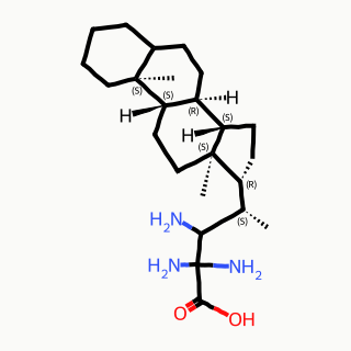 C[C@H](C(N)C(N)(N)C(=O)O)[C@H]1CC[C@H]2[C@@H]3CCC4CCCC[C@]4(C)[C@H]3CC[C@]12C